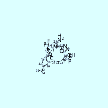 Nc1cc(C(F)(F)F)c2nc1-c1nnc(o1)[C@@](O)(C(F)(F)F)CCCCCN(Cc1ccc(C3CC3)cc1)C2=O